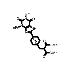 CCCn1c(=O)c2[nH]c(C34CCC(CC(C(=O)OC)C(=O)OC)(CC3)CC4)nc2n(CCC)c1=O